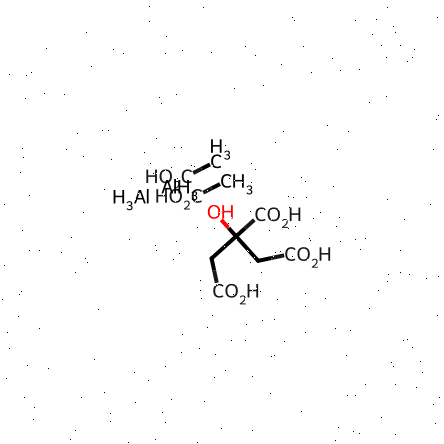 CC(=O)O.CC(=O)O.O=C(O)CC(O)(CC(=O)O)C(=O)O.[AlH3].[AlH3]